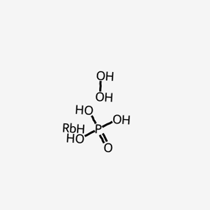 O=P(O)(O)O.OO.[RbH]